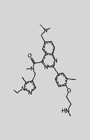 CCn1ncc(CN(C)C(=O)c2nc(-c3ccc(OCCNC)c(C)c3)nc3ccc(CN(C)C)cc23)c1C